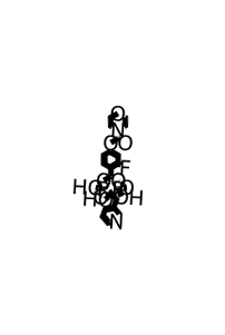 O=C(Oc1ccc(C2OP(=O)(O)C(O)(Cc3cccnc3)P(=O)(O)O2)c(F)c1)N1CCOCC1